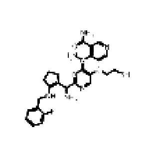 NC(=O)c1cnccc1N(N)c1nc(C(N)C2=C(NCc3ccccc3F)CCC2)ncc1OCCS